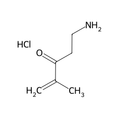 C=C(C)C(=O)CCN.Cl